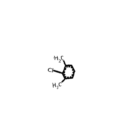 [CH2]c1cccc(C)c1Cl